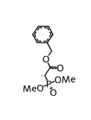 COP(=O)([CH]C(=O)OCc1ccccc1)OC